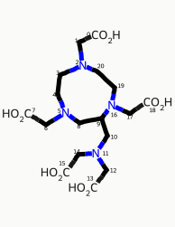 O=C(O)CN1CCN(CC(=O)O)CC(CN(CC(=O)O)CC(=O)O)N(CC(=O)O)CC1